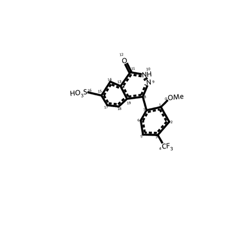 COc1cc(C(F)(F)F)ccc1-c1n[nH]c(=O)c2cc(S(=O)(=O)O)ccc12